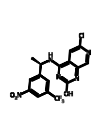 C[C@@H](Nc1nc(O)nc2cnc(Cl)cc12)c1cc([N+](=O)[O-])cc(C(F)(F)F)c1